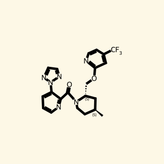 C[C@H]1CCN(C(=O)c2ncccc2-n2nccn2)[C@H](COc2cc(C(F)(F)F)ccn2)C1